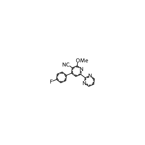 COc1nc(-c2ncccn2)cc(-c2ccc(F)cc2)c1C#N